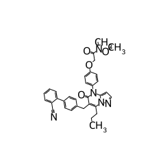 CCCc1c(Cc2ccc(-c3ccccc3C#N)cc2)c(=O)n(-c2ccc(OCC(=O)N(C)OC)cc2)c2ccnn12